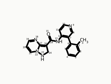 Cc1ccccc1-c1cnccc1NC(=O)C1=C2N=CC=CN2NC1